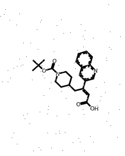 CC(C)(C)OC(=O)N1CCC(CC(=CC(=O)O)c2cnc3ccccc3c2)CC1